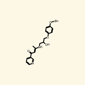 CCCCOc1ccc(OCC(O)CN/C(C)=C/C(=O)c2cccnc2)cc1